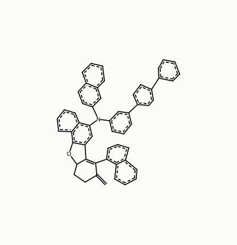 C=C1CCC2Oc3c(cc(N(c4cccc(-c5ccc(-c6ccccc6)cc5)c4)c4ccc5ccccc5c4)c4ccccc34)C2=C1c1cccc2ccccc12